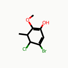 COC1=C(O)C=C(Br)C(Cl)C1C